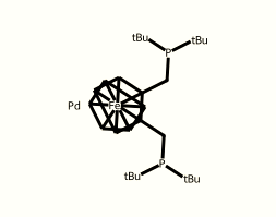 CC(C)(C)P(C[C]12[CH]3[CH]4[CH]5[C]1(CP(C(C)(C)C)C(C)(C)C)[Fe]43521678[CH]2[CH]1[CH]6[CH]7[CH]28)C(C)(C)C.[Pd]